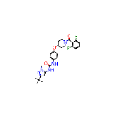 Cn1nc(C(C)(C)C)cc1NC(=O)Nc1ccc(OC2CCN(C(=O)c3c(F)cccc3F)CC2)cc1